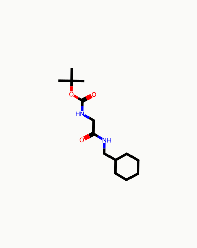 CC(C)(C)OC(=O)NCC(=O)NCC1CCCCC1